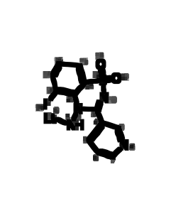 CCNN1C(c2cccnc2)=NS(=O)(=O)c2cccc(F)c21